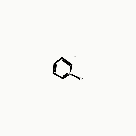 Br[n+]1ccccc1.[I-]